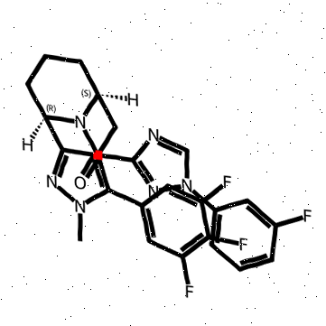 Cn1nc2c(c1-c1cc(F)c(F)c(F)c1)C[C@@H]1CCC[C@H]2N1C(=O)c1ncn(-c2cccc(F)c2)n1